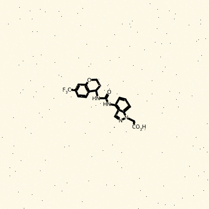 O=C(O)Cn1ncc2c(NC(=O)NC3CCOc4cc(C(F)(F)F)ccc43)cccc21